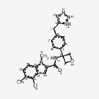 Cn1c(C(=O)NC2(c3ccc(Cc4nnn[nH]4)cc3)COC2)cc2c(Cl)c(Cl)ccc21